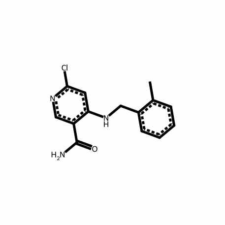 Cc1ccccc1CNc1cc(Cl)ncc1C(N)=O